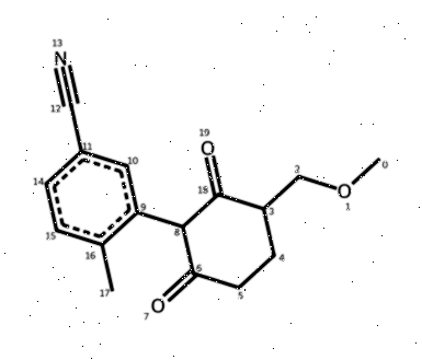 COCC1CCC(=O)C(c2cc(C#N)ccc2C)C1=O